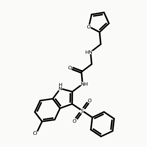 O=C(CNCc1ccco1)Nc1[nH]c2ccc(Cl)cc2c1S(=O)(=O)c1ccccc1